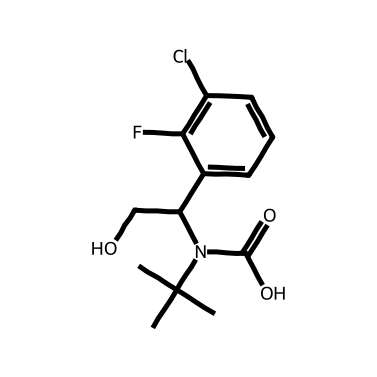 CC(C)(C)N(C(=O)O)C(CO)c1cccc(Cl)c1F